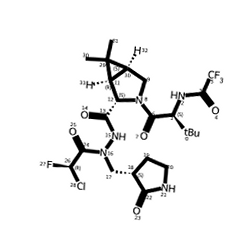 CC(C)(C)[C@H](NC(=O)C(F)(F)F)C(=O)N1C[C@H]2[C@@H]([C@H]1C(=O)NN(C[C@@H]1CCNC1=O)C(=O)[C@H](F)Cl)C2(C)C